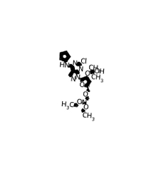 CCON(COC[C@@H]1C[C@@H](OC(C)(C)O)[C@@H](n2ncc3c(NC4CCCC4)nc(Cl)nc32)O1)OCC